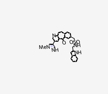 CN/C=C(\C=N)c1cnc2ccc3ccc(CS(=O)(=O)NCc4cc5ccccc5[nH]4)cc3c(=O)c2c1